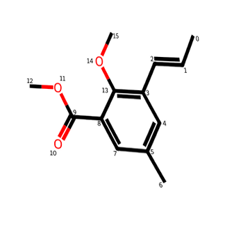 CC=Cc1cc(C)cc(C(=O)OC)c1OC